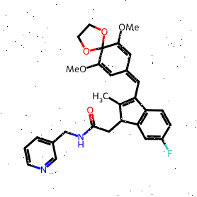 COC1=CC(=CC2=C(C)C(CC(=O)NCc3cccnc3)c3cc(F)ccc32)C=C(OC)C12OCCO2